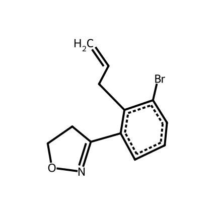 C=CCc1c(Br)cccc1C1=NOCC1